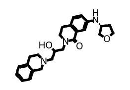 O=C1c2cc(N[C@@H]3CCOC3)ccc2CCN1CC(O)CN1CCc2ccccc2C1